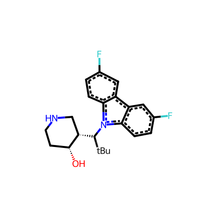 CC(C)(C)C([C@H]1CNCC[C@H]1O)n1c2ccc(F)cc2c2cc(F)ccc21